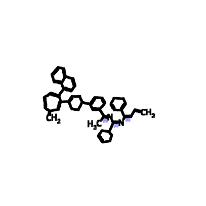 C=C/C=C(/N=C(\N=C(/C)c1cccc(C2CC=C(C3=CC(=C)C=CC=C3c3cccc4ccccc34)CC2)c1)C1CC=CCC1)C1=CCCC=C1